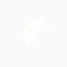 CC1CC(NS(=O)(=O)c2cc(Br)c(F)cc2F)CN1C#N